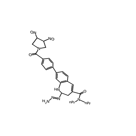 CCCN(CCC)C(=O)C1=Cc2ccc(-c3ccc(C(=O)N4CC(N=O)C(N=O)C4)cc3)cc2NC(N=NN)C1